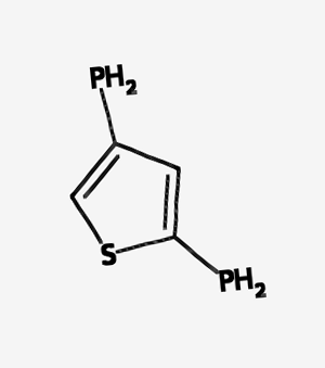 Pc1csc(P)c1